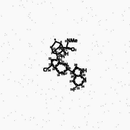 CNC(=O)[C@H]1C2CCC(CC2)[C@@H]1n1cc(Cl)c2cnc(-c3c[nH]c4ncc(F)cc34)nc21